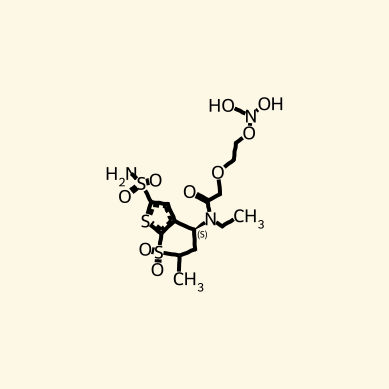 CCN(C(=O)COCCON(O)O)[C@H]1CC(C)S(=O)(=O)c2sc(S(N)(=O)=O)cc21